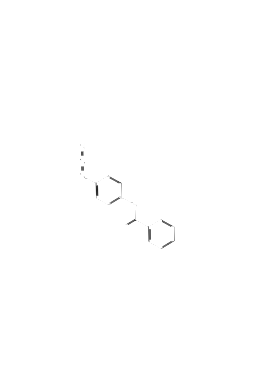 [N-]=[N+]=Nc1ccc(NC(=O)c2ccccc2)cc1